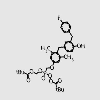 Cc1cc(OCP(=O)(OCOC(=O)C(C)(C)C)OOC(=O)C(C)(C)C)cc(C)c1Cc1ccc(O)c(Cc2ccc(F)cc2)c1